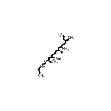 C=C/C=C\NCCO/C(C=C)=C/C(=C/C=C/C(=N)/C=C(N)/C=C/C(=C/C)CC=C)OC